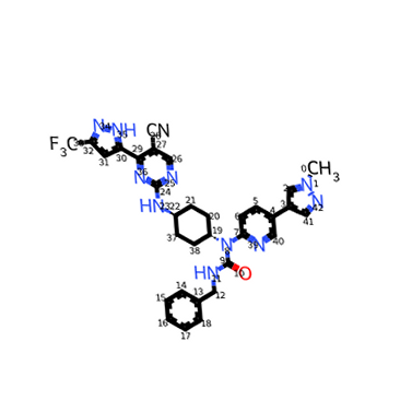 Cn1cc(-c2ccc(N(C(=O)NCc3ccccc3)[C@H]3CC[C@H](Nc4ncc(C#N)c(-c5cc(C(F)(F)F)n[nH]5)n4)CC3)nc2)cn1